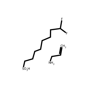 C=CCN.O=S(=O)(O)CCCCCCCC(F)F